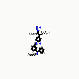 CN/C(=C\N=N)C(CC(=O)O)c1ccc(NCc2cccc(/C(=N\OC)c3ccccc3)c2)cc1